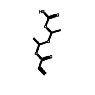 C=CC(=O)OC(C)OC(C)OC(=O)O